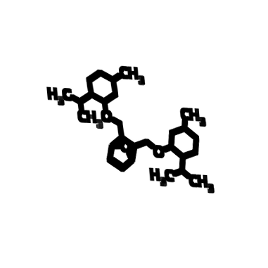 CC1CCC(C(C)C)C(OCC2C3C=CC(O3)C2COC2CC(C)CCC2C(C)C)C1